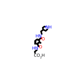 Cc1c(C(=O)NCCC(=O)O)cccc1C(=O)NCCC1CCNCC1